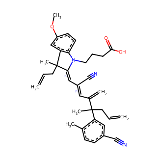 C=CCC(C)(C(=C)/C=C(C#N)/C=C1\N(CCCC(=O)O)c2ccc(OC)cc2C1(C)CC=C)c1cc(C#N)ccc1C